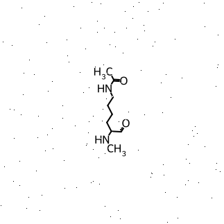 CNC(C=O)CCCCNC(C)=O